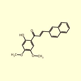 COc1cc(O)c(C(=O)/C=C/c2ccc3ccccc3c2)cc1OC